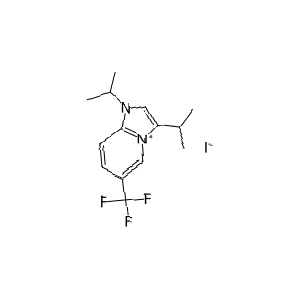 CC(C)c1cn(C(C)C)c2ccc(C(F)(F)F)c[n+]12.[I-]